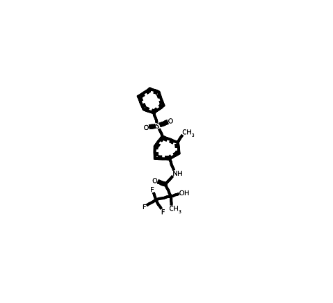 Cc1cc(NC(=O)C(C)(O)C(F)(F)F)ccc1S(=O)(=O)c1ccccc1